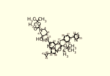 CC(C)(C)OC(=O)N1CC[C@H](CNc2cc(N(Cc3ccc(-c4cscn4)cc3)C(=O)OC(C)(C)C)n3ncc(C4CC4)c3n2)[C@@H](O)C1